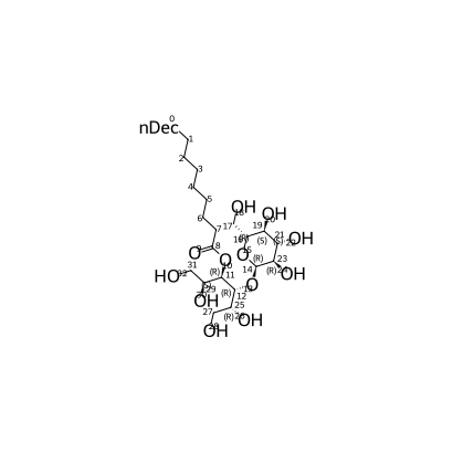 CCCCCCCCCCCCCCCCCC(=O)O[C@@H]([C@H](O[C@H]1O[C@H](CO)[C@@H](O)[C@H](O)[C@H]1O)[C@H](O)CO)[C@@H](O)CO